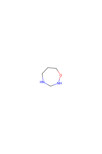 C1CNCNOC1